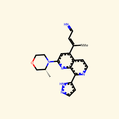 CN/C(=C\C=N)c1cc(N2CCOC[C@H]2C)nc2c(-c3ccn[nH]3)nccc12